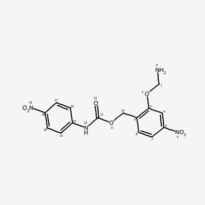 NCOc1cc([N+](=O)[O-])ccc1COC(=O)Nc1ccc([N+](=O)[O-])cc1